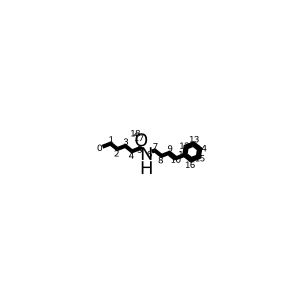 CCCCCC(NCCC=Cc1ccccc1)OC